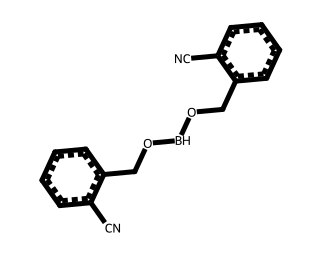 N#Cc1ccccc1COBOCc1ccccc1C#N